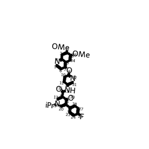 COc1cc2nccc(Oc3ccc(NC(=O)c4cn(C(C)C)cc(-c5ccc(F)cc5)c4=O)cn3)c2cc1OC